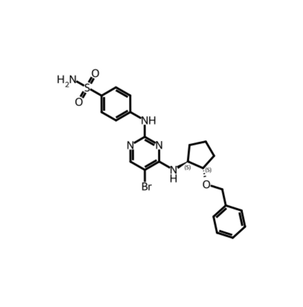 NS(=O)(=O)c1ccc(Nc2ncc(Br)c(N[C@H]3CCC[C@@H]3OCc3ccccc3)n2)cc1